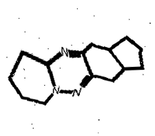 C1CC2CC3=NC4CCCCN4N=C3CC2C1